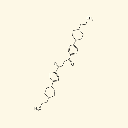 CCCC1CCC(c2ccc(C(=O)CCC(=O)c3ccc(C4CCC(CCC)CC4)cc3)cc2)CC1